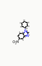 O=[N+]([O-])c1ccc2c(c1)ncn2-c1[c]cccc1